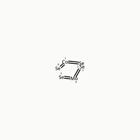 [Se]=[Co]=[Se].[Se]=[Mo]=[Se]